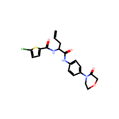 C=CCC(NC(=O)c1ccc(Cl)s1)C(=O)Nc1ccc(N2CCOCC2=O)cc1